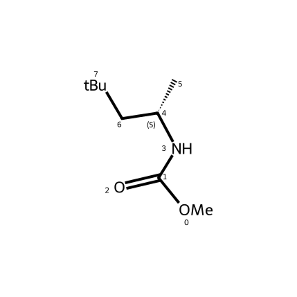 COC(=O)N[C@@H](C)CC(C)(C)C